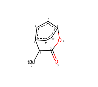 CC(C)(C)[C]1C(=O)Oc2ccc1cc2